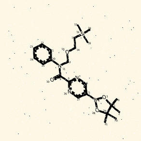 CC1(C)OB(c2cnc(C(=O)N(COCC[Si](C)(C)C)c3ccccc3)nc2)OC1(C)C